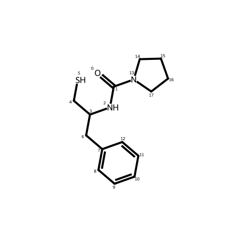 O=C(NC(CS)Cc1ccccc1)N1CCCC1